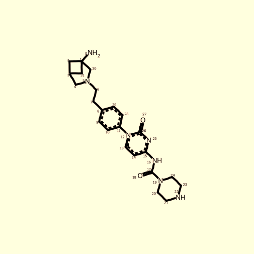 NC12CC(CN(CCc3ccc(-n4ccc(NC(=O)N5CCNCC5)nc4=O)cc3)C1)C2